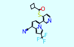 N#Cc1ccc(-c2cnccc2SC(=O)C2CCC2)n2cc(C(F)(F)F)cc12